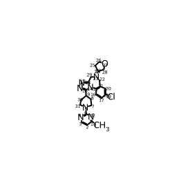 Cc1ccnc(N2CCC(c3nnc4n3-c3ccc(Cl)cc3CN([C@H]3CCOC3)C4)CC2)n1